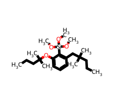 CCCC(C)(C)Cc1cccc(OC(C)(C)CCC)c1[Si](OC)(OC)OC